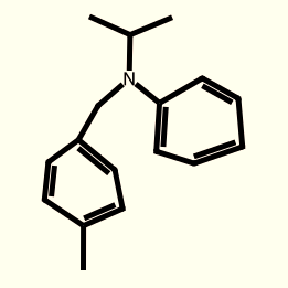 Cc1ccc(CN(c2ccccc2)C(C)C)cc1